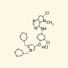 Cl.Cn1c(Cl)cc2ncnc(Nc3ccc(OC4=CN(Cc5ccccc5)S(Cc5ccccc5)=C4)c(Cl)c3)c21